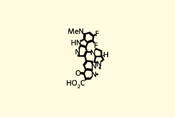 CNc1cc(F)c(F)c2c1[nH]c1ncc(-c3cnc4c(c3)c(=O)c(C(=O)O)cn4C)c(N3CC[C@H]4CN(C)CC43)c12